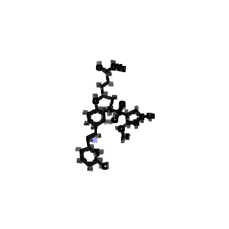 CCOc1nn(CC)cc1S(=O)(=O)N1CC(CCC(=O)OC)Oc2ccc(/C=C/c3cccc(Cl)n3)cc21